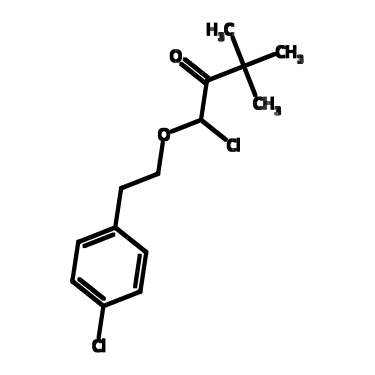 CC(C)(C)C(=O)C(Cl)OCCc1ccc(Cl)cc1